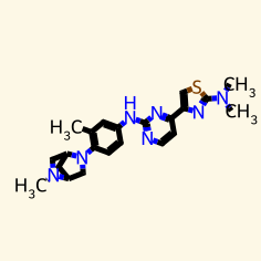 Cc1cc(Nc2nccc(-c3csc(N(C)C)n3)n2)ccc1N1CC2CC1CN2C